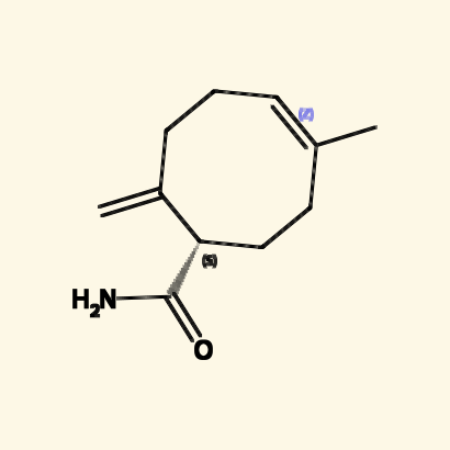 C=C1CC/C=C(/C)CC[C@@H]1C(N)=O